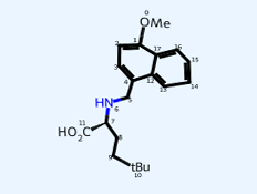 COc1ccc(CN[C@@H](CCC(C)(C)C)C(=O)O)c2ccccc12